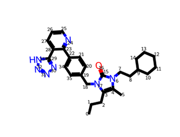 CCCc1c(C)n(CCC2CCCCC2)c(=O)n1Cc1ccc(-c2ncccc2-c2nnn[nH]2)cc1